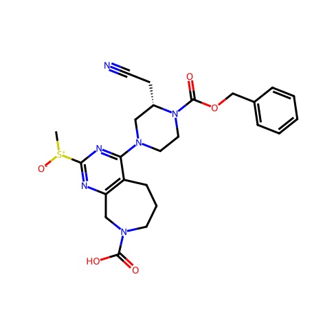 C[S+]([O-])c1nc2c(c(N3CCN(C(=O)OCc4ccccc4)[C@@H](CC#N)C3)n1)CCCN(C(=O)O)C2